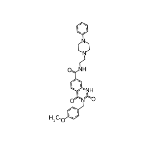 COc1ccc(Cn2c(=O)[nH]c3cc(C(=O)NCCN4CCN(c5ccccc5)CC4)ccc3c2=O)cc1